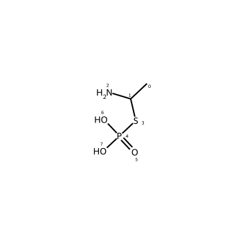 CC(N)SP(=O)(O)O